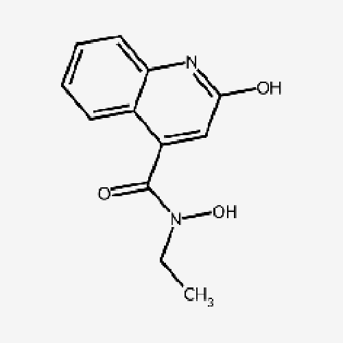 CCN(O)C(=O)c1cc(O)nc2ccccc12